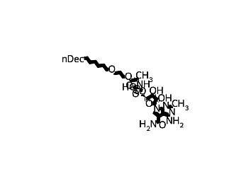 CCCCCCCCCCCCCCCCOCCCOC(=O)[C@H](C)NP(=O)(O)OC[C@H]1O[C@@H](n2cc(C(N)=O)c3c(N)nc(C)nc32)[C@H](O)[C@@H]1O